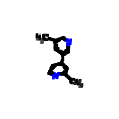 Cc1cncc(-c2ccnc(C)c2)c1